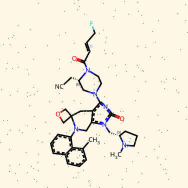 Cc1cccc2cccc(N3Cc4c(c(N5CCN(C(=O)/C=C/CF)[C@@H](CC#N)C5)nc(=O)n4C[C@@H]4CCCN4C)CC34COC4)c12